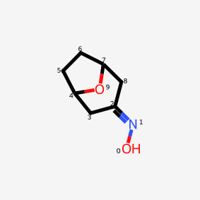 ON=C1CC2CCC(C1)O2